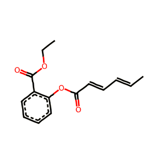 C/C=C/C=C/C(=O)Oc1ccccc1C(=O)OCC